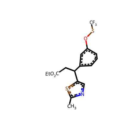 CCOC(=O)CC(c1cccc(OSC(F)(F)F)c1)c1cnc(C)s1